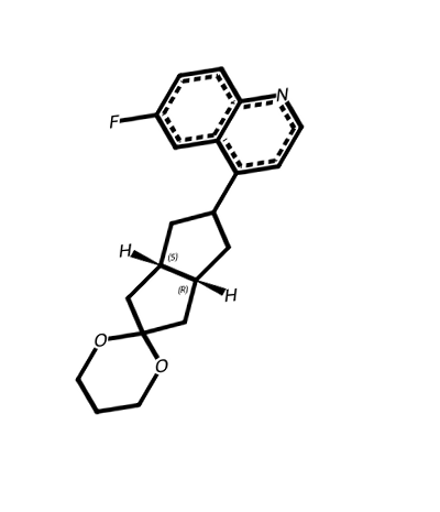 Fc1ccc2nccc(C3C[C@@H]4CC5(C[C@@H]4C3)OCCCO5)c2c1